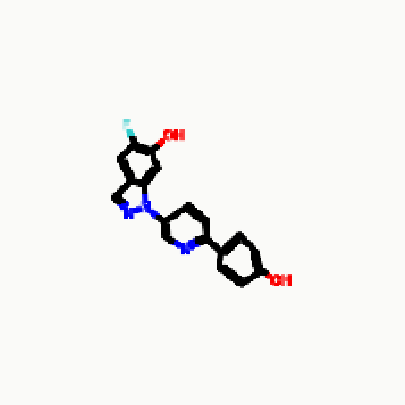 Oc1ccc(-c2ccc(-n3ncc4cc(F)c(O)cc43)cn2)cc1